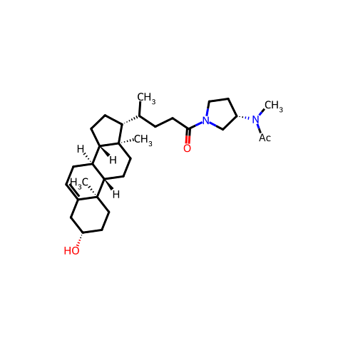 CC(=O)N(C)[C@H]1CCN(C(=O)CCC(C)[C@H]2CC[C@H]3[C@@H]4CC=C5C[C@@H](O)CC[C@]5(C)[C@H]4CC[C@]23C)C1